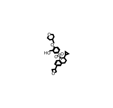 O=S(=O)(c1ccc(OCC2CCOCC2)c(CO)c1)N1c2ccc(C3COC3)cc2CCC1C1CC1